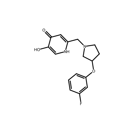 O=c1cc(CN2CCC(Oc3cccc(F)c3)C2)[nH]cc1O